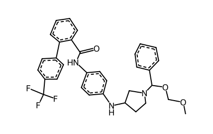 COCOC(c1ccccc1)N1CCC(Nc2ccc(NC(=O)c3ccccc3-c3ccc(C(F)(F)F)cc3)cc2)C1